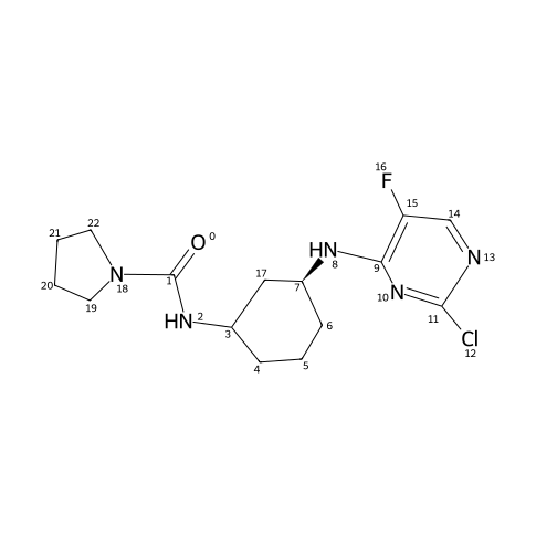 O=C(NC1CCC[C@H](Nc2nc(Cl)ncc2F)C1)N1CCCC1